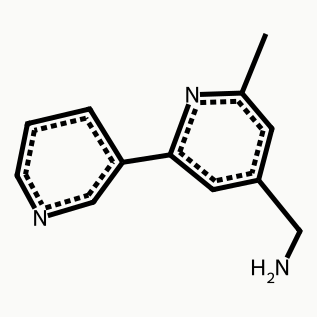 Cc1cc(CN)cc(-c2cccnc2)n1